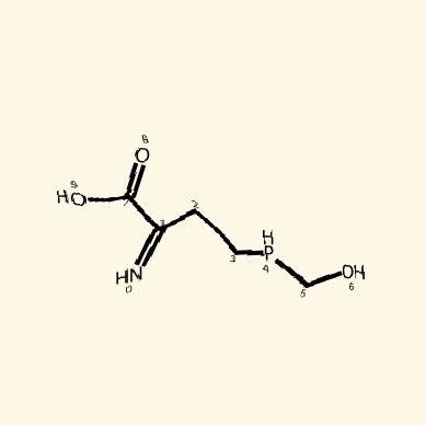 N=C(CCPCO)C(=O)O